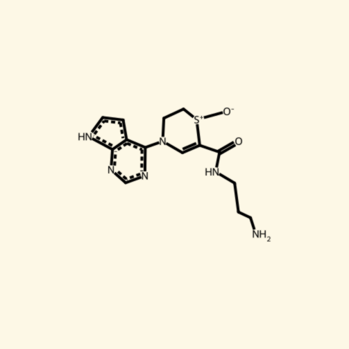 NCCCNC(=O)C1=CN(c2ncnc3[nH]ccc23)CC[S+]1[O-]